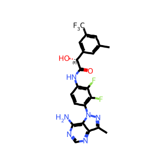 Cc1cc([C@@H](O)C(=O)Nc2ccc(-n3nc(C)c4ncnc(N)c43)c(F)c2F)cc(C(F)(F)F)c1